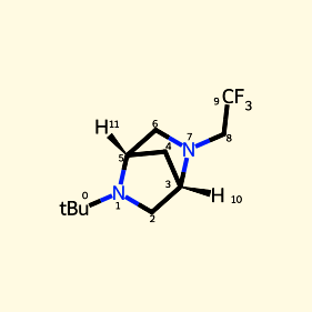 CC(C)(C)N1C[C@@H]2C[C@H]1CN2CC(F)(F)F